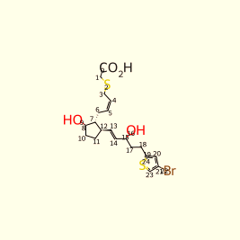 O=C(O)CSC/C=C\C[C@H]1C(O)CC[C@@H]1/C=C/[C@@H](O)CCc1cc(Br)cs1